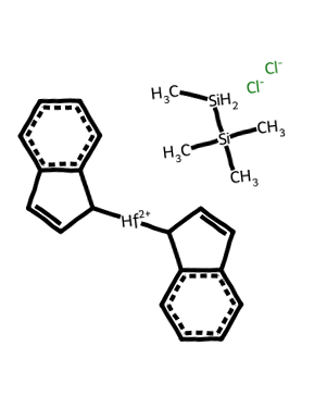 C1=C[CH]([Hf+2][CH]2C=Cc3ccccc32)c2ccccc21.C[SiH2][Si](C)(C)C.[Cl-].[Cl-]